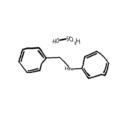 O=S(=O)(O)O.c1ccc(CNc2ccccc2)cc1